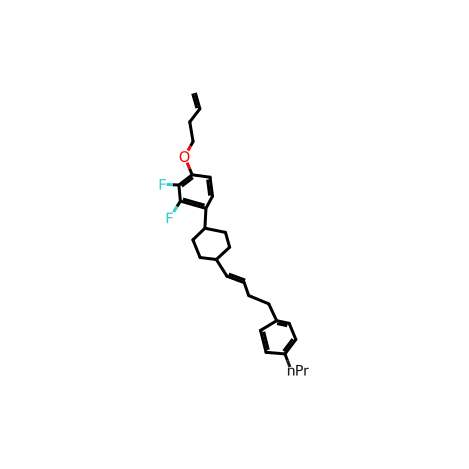 C=CCCOc1ccc(C2CCC(/C=C/CCc3ccc(CCC)cc3)CC2)c(F)c1F